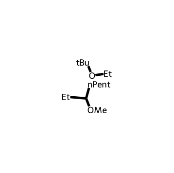 CCCCCC(CC)OC.CCOC(C)(C)C